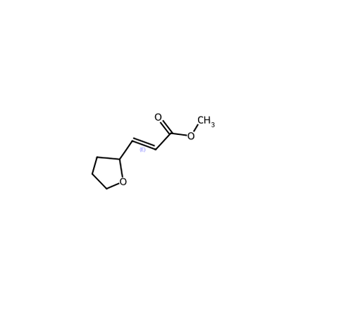 COC(=O)/C=C/C1CCCO1